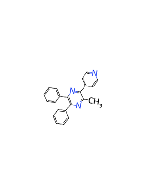 Cc1nc(-c2ccccc2)c(-c2ccccc2)nc1-c1ccncc1